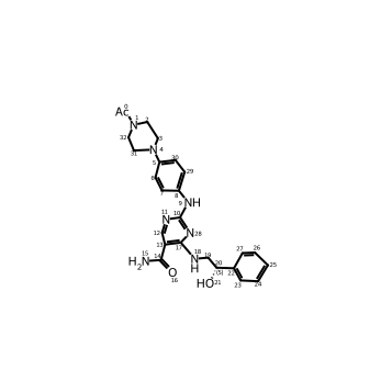 CC(=O)N1CCN(c2ccc(Nc3ncc(C(N)=O)c(NC[C@@H](O)c4ccccc4)n3)cc2)CC1